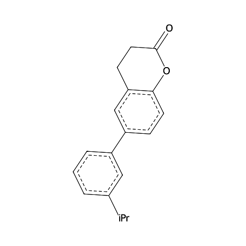 CC(C)c1cccc(-c2ccc3c(c2)CCC(=O)O3)c1